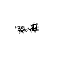 O=C(COC(F)C(F)(F)S(=O)(=O)O)C12CC3CC(CC(C3)C1)C2